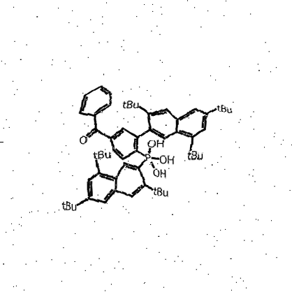 CC(C)(C)c1cc(C(C)(C)C)c2cc(-c3cc(C(=O)c4ccccc4)ccc3P(O)(O)(O)c3cc4c(C(C)(C)C)cc(C(C)(C)C)cc4cc3C(C)(C)C)c(C(C)(C)C)cc2c1